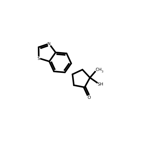 CC1(S)CCCC1=O.c1ccc2scnc2c1